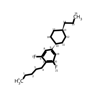 CCCCCc1c(F)cc([C@H]2CC[C@H](CCC)CC2)cc1F